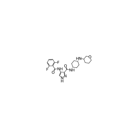 O=C(N[C@H]1CC[C@@H](NC2CCCOC2)CC1)c1n[nH]cc1NC(=O)c1c(F)cccc1F